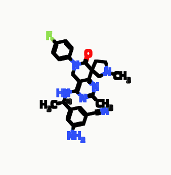 Cc1nc(N[C@H](C)c2cc(N)cc(C#N)c2)c2c(n1)C1(CCN(C)C1)C(=O)N(c1ccc(F)cc1)C2